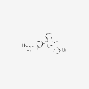 O=C(Nc1ccccc1Oc1ccc(C(=O)O)c(C(=O)O)c1)c1cncc(Br)c1